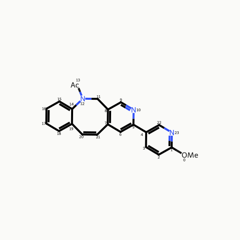 COc1ccc(-c2cc3c(cn2)CN(C(C)=O)c2ccccc2C=C3)cn1